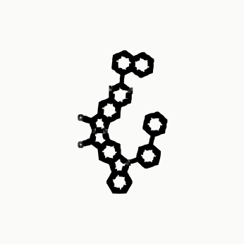 O=c1c2cc3nc(-c4cccc5ccccc45)ncc3cc2n2c3cc4c(cc3c(=O)n12)c1ccccc1n4-c1cccc(-c2ccccc2)c1